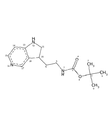 CC(C)(C)OC(=O)NCCC1CNc2ccncc21